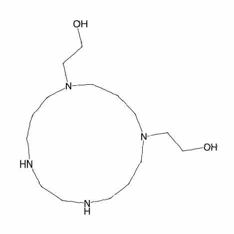 OCCN1CCCNCCNCCCN(CCO)CCC1